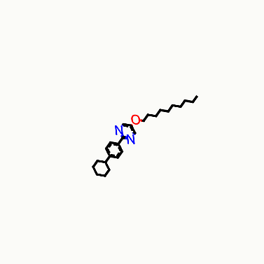 CCCCCCCCCCOc1cnc(-c2ccc(C3CCCCC3)cc2)nc1